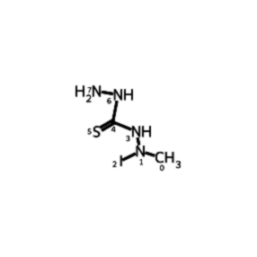 CN(I)NC(=S)NN